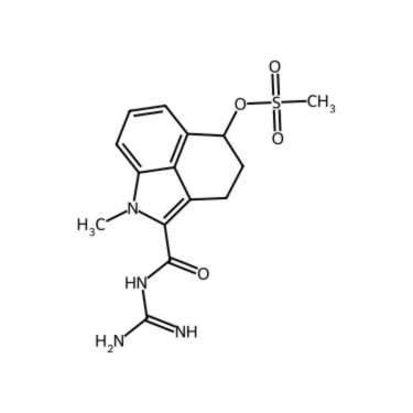 Cn1c(C(=O)NC(=N)N)c2c3c(cccc31)C(OS(C)(=O)=O)CC2